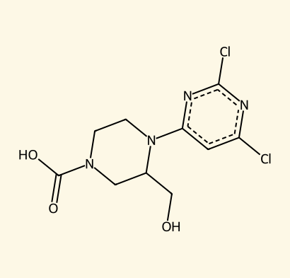 O=C(O)N1CCN(c2cc(Cl)nc(Cl)n2)C(CO)C1